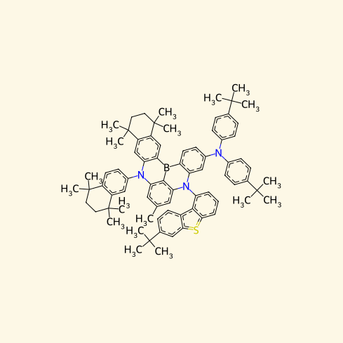 Cc1cc2c3c(c1)N(c1cccc4sc5cc(C(C)(C)C)ccc5c14)c1cc(N(c4ccc(C(C)(C)C)cc4)c4ccc(C(C)(C)C)cc4)ccc1B3c1cc3c(cc1N2c1ccc2c(c1)C(C)(C)CCC2(C)C)C(C)(C)CCC3(C)C